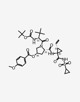 C=C[C@@H]1C[C@]1(NC(=O)[C@@H]1C[C@@H](OC(=O)c2ccc(OC)cc2)CN1C(=O)[C@@H](NC(=O)OC(C)(C)C)C(C)(C)C)C(=O)NS(=O)(=O)C1CC1